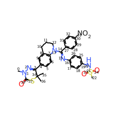 CN1N=C(c2ccc3c(c2)CCCN3C(=Nc2ccc(NS(C)(=O)=O)cc2)c2ccc([N+](=O)[O-])cc2)C(C)(C)SC1=O